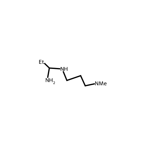 CCC(N)NCCCNC